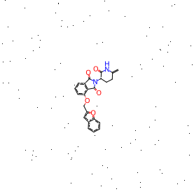 C=C1CCC(N2C(=O)c3cccc(OCc4cc5ccccc5o4)c3C2=O)C(=O)N1